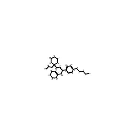 CCCCCc1ccc(C(CCC2(CCC)CCCCC2)CC2=CCCCC2)cc1